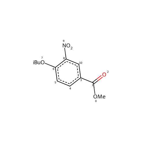 COC(=O)c1ccc(OCC(C)C)c([N+](=O)[O-])c1